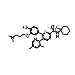 Cc1cnc(-c2ccc(C(=O)NC3(C(=O)O)CCCCC3)nc2-c2ccc(Cl)c(OCCCN(C)C)c2)c(C)c1